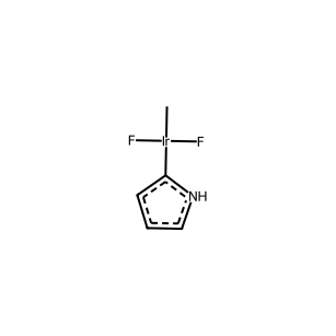 [CH3][Ir]([F])([F])[c]1ccc[nH]1